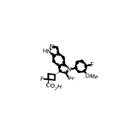 COc1cc(-n2c(C(C)C)c([C@H]3C[C@](F)(C(=O)O)C3)c3cc4[nH]ncc4cc32)ccc1F